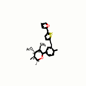 CS[C@H]1C(c2ccc(C)c(Cc3ccc(-c4ccco4)s3)c2)O[C@H](C)[C@@H](C)[C@@H]1OC(C)=O